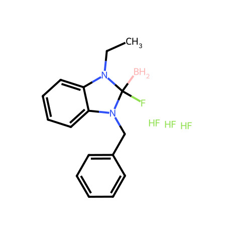 BC1(F)N(CC)c2ccccc2N1Cc1ccccc1.F.F.F